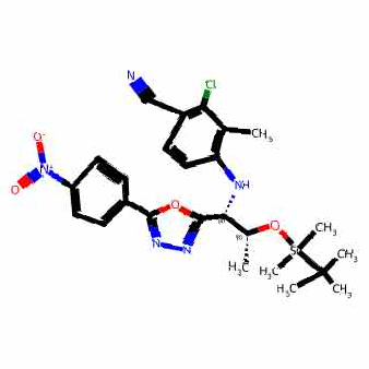 Cc1c(N[C@@H](c2nnc(-c3ccc([N+](=O)[O-])cc3)o2)[C@@H](C)O[Si](C)(C)C(C)(C)C)ccc(C#N)c1Cl